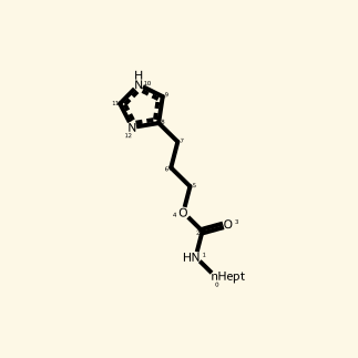 CCCCCCCNC(=O)OCCCc1c[nH]cn1